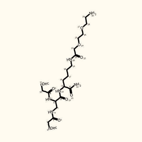 CCCCCCCCCCCC(=O)NCC(NC(=O)CCCCCCCCCCC)C(=O)NC(CCCCNC(=O)COCCOCCN)C(N)=O